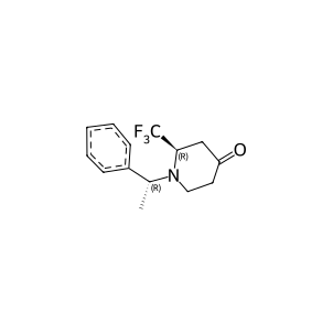 C[C@H](c1ccccc1)N1CCC(=O)C[C@@H]1C(F)(F)F